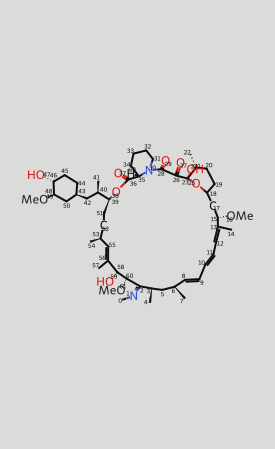 C/N=C1/[C@H](C)C[C@H](C)/C=C/C=C/C=C(\C)[C@@H](OC)CC2CC[C@@H](C)[C@@](O)(O2)C(=O)C(=O)N2CCCC[C@H]2C(=O)O[C@H]([C@H](C)C[C@@H]2CC[C@@H](O)[C@H](OC)C2)CC[C@H](C)/C=C(\C)[C@@H](O)[C@H]1OC